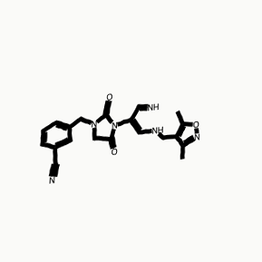 Cc1noc(C)c1CN/C=C(\C=N)N1C(=O)CN(Cc2cccc(C#N)c2)C1=O